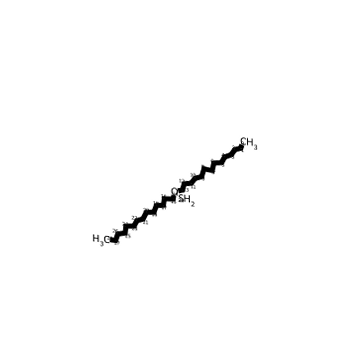 CCCCCCCCCCCCCCOCCCCCCCCCCCCCC.S